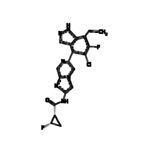 C=Cc1c(F)c(Cl)c(-c2cn3cc(NC(=O)[C@@H]4C[C@@H]4F)nc3cn2)c2cn[nH]c12